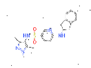 Cc1nn(C)c(C)c1NS(=O)(=O)c1ccc(NC2Cc3ccccc3C2)nc1